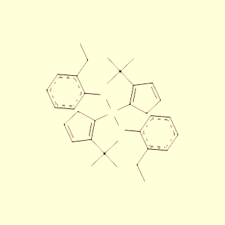 CCc1ccccc1[O][Zr]([O]c1ccccc1CC)([C]1=C(C(C)(C)C)C=CC1)[C]1=C(C(C)(C)C)C=CC1